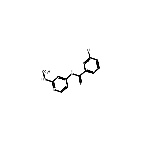 O=C(O)Nc1cc(NC(=O)c2cccc(Cl)c2)ccn1